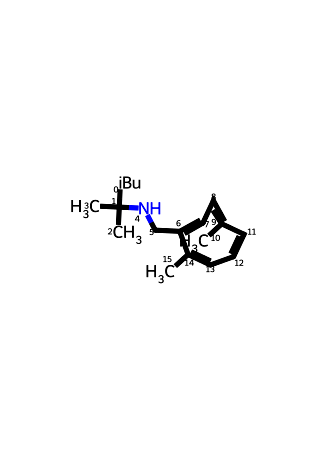 CCC(C)C(C)(C)NCC1=C\C=C(C)\C=C/C=C\1C